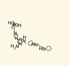 Nc1cc(N2CC3CC2CN3CCOP(O)O)nc(NC[C@H]2CC[C@H](CNCCCNC3CCCCC3)CC2)n1